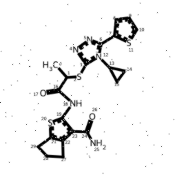 CC(Sc1nnc(-c2cccs2)n1C1CC1)C(=O)Nc1sc2c(c1C(N)=O)CCC2